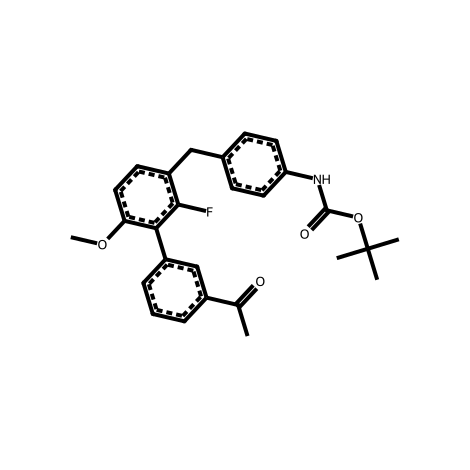 COc1ccc(Cc2ccc(NC(=O)OC(C)(C)C)cc2)c(F)c1-c1cccc(C(C)=O)c1